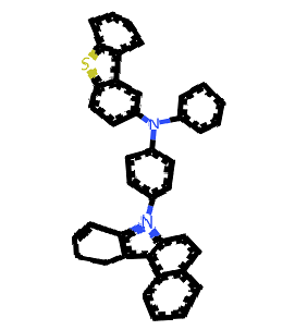 C1=Cc2c(c3c4ccccc4ccc3n2-c2ccc(N(c3ccccc3)c3ccc4sc5ccccc5c4c3)cc2)CC1